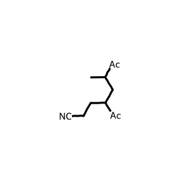 CC(=O)C(C)CC(CCC#N)C(C)=O